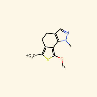 CCOc1sc(C(=O)O)c2c1-c1c(cnn1C)CC2